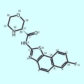 O=C(Nc1nc2ccc3cc(F)ccc3c2s1)[C@H]1COCCN1